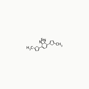 CC1=CC=C(c2ccc(C3=CC=C(C)C3)c3nsnc23)C1